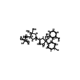 Cc1cnc(C2(CF)CC(N3C[C@@H](NS(C)(=O)=O)C(F)(F)C3)=NO2)c(-c2c(F)cccc2F)n1